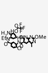 CCN(C(=O)c1ccc(Cl)c(NC(=O)c2cc3c(C)nc(OC)nc3[nH]c2=O)c1)c1ccccc1N.O=C(O)C(F)(F)F